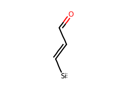 O=CC=C[Si]